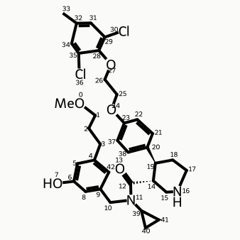 COCCCc1cc(O)cc(CN(C(=O)[C@H]2CNCC[C@@H]2c2ccc(OCCOc3c(Cl)cc(C)cc3Cl)cc2)C2CC2)c1